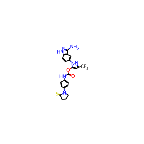 Nc1n[nH]c2ccc(-n3nc(C(F)(F)F)cc3OC(=O)Nc3ccc(N4CCCC4=S)cc3)cc12